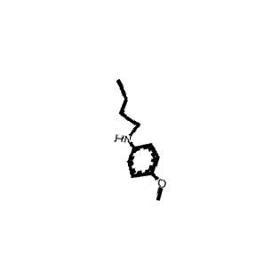 CCCCNc1ccc(OC)cc1